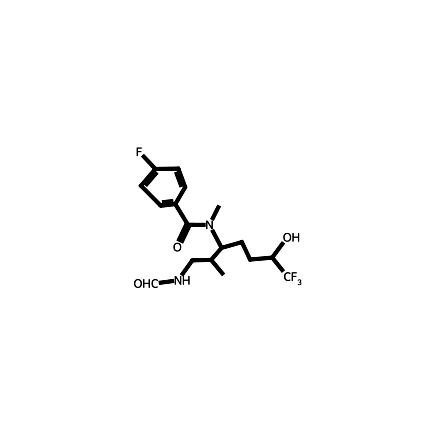 CC(CNC=O)C(CCC(O)C(F)(F)F)N(C)C(=O)c1ccc(F)cc1